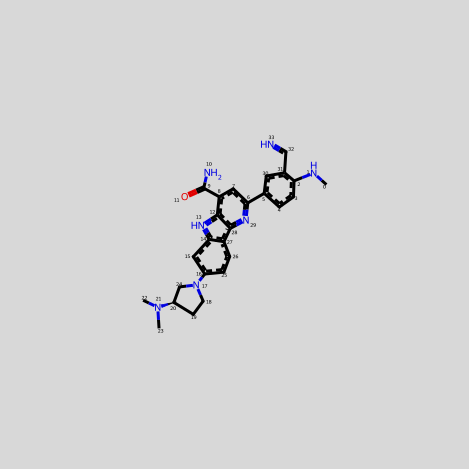 CNc1ccc(-c2cc(C(N)=O)c3[nH]c4cc(N5CC[C@@H](N(C)C)C5)ccc4c3n2)cc1C=N